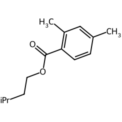 Cc1ccc(C(=O)OCCC(C)C)c(C)c1